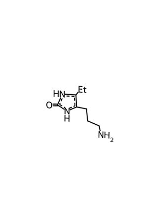 CCc1[nH]c(=O)[nH]c1CCCN